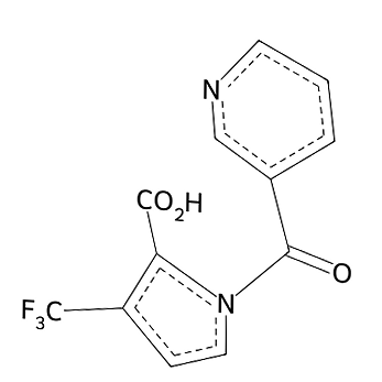 O=C(O)c1c(C(F)(F)F)ccn1C(=O)c1cccnc1